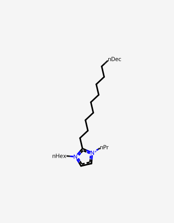 CCCCCCCCCCCCCCCCCCCc1n(CCCCCC)cc[n+]1CCC